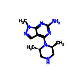 C[C@H]1CNC[C@H](C)N1c1nc(N)nc2c1cnn2C